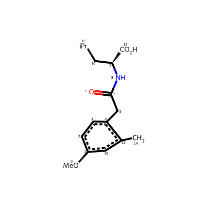 COc1ccc(CC(=O)N[C@@H](CC(C)C)C(=O)O)c(C)c1